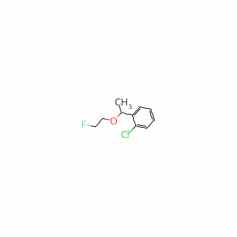 CC(OCCF)c1ccccc1Cl